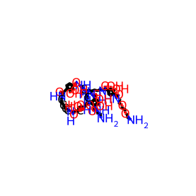 NCCNC(=O)c1ccc(C(=O)NC(CCCNC(=O)c2ccc(C(=O)NCCOCCOCCN)c(O)c2O)CN2CCNC(=O)c3ccc(c(O)c3O)C(=O)NCCCCCNC(=O)c3ccc(c(O)c3O)C(=O)NCC2)c(O)c1O